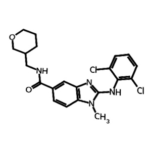 Cn1c(Nc2c(Cl)cccc2Cl)nc2cc(C(=O)NCC3CCCOC3)ccc21